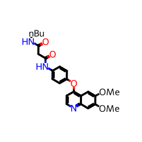 CCCCNC(=O)CC(=O)Nc1ccc(Oc2ccnc3cc(OC)c(OC)cc23)cc1